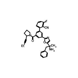 CCC#CC1CCCN1C(=O)c1cc(-c2ncc([C@](C)(N)Cc3ccccc3)o2)cc(-c2cccc(F)c2C#N)c1